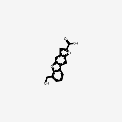 O=C(O)c1cc2cc3oc4c(CO)cccc4c3cc2o1